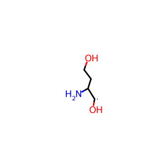 NC([CH]O)CCO